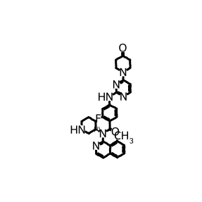 Cc1cccc2ccnc(N(C(=O)c3ccc(Nc4nccc(N5CCC(=O)CC5)n4)cc3F)[C@@H]3CCCNC3)c12